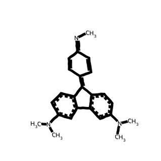 CN=C1C=CC(=C2c3ccc(N(C)C)cc3-c3cc(N(C)C)ccc32)C=C1